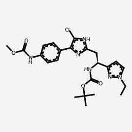 CCn1ccc([C@H](Cc2nc(-c3ccc(NC(=O)OC)cc3)c(Cl)[nH]2)NC(=O)OC(C)(C)C)n1